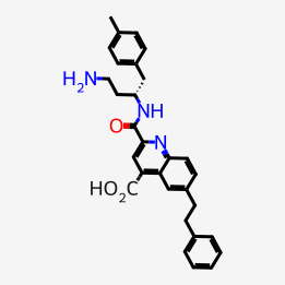 Cc1ccc(C[C@@H](CCN)NC(=O)c2cc(C(=O)O)c3cc(CCc4ccccc4)ccc3n2)cc1